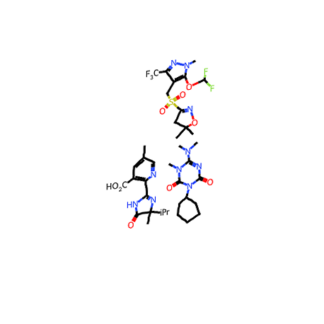 CN(C)c1nc(=O)n(C2CCCCC2)c(=O)n1C.Cc1cnc(C2=NC(C)(C(C)C)C(=O)N2)c(C(=O)O)c1.Cn1nc(C(F)(F)F)c(CS(=O)(=O)C2=NOC(C)(C)C2)c1OC(F)F